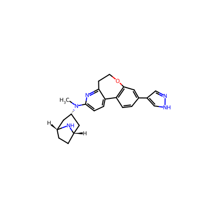 CN(c1ccc2c(n1)CCOc1cc(-c3cn[nH]c3)ccc1-2)[C@H]1C[C@H]2CC[C@@H](C1)N2